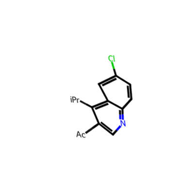 CC(=O)c1cnc2ccc(Cl)cc2c1C(C)C